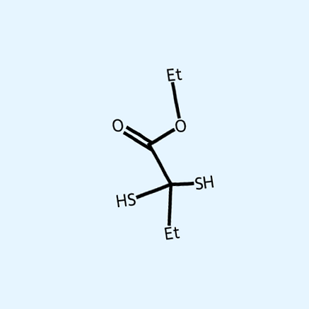 CCOC(=O)C(S)(S)CC